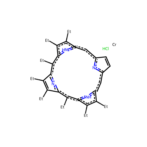 CCC1=C(CC)c2nc1c(CC)c1[nH]c(cc3nc(cc4[nH]c(c2CC)c(CC)c4CC)C=C3)c(CC)c1CC.Cl.[Cr]